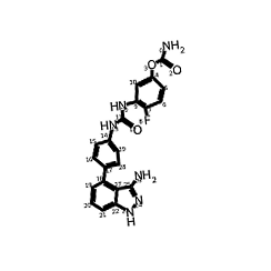 NC(=O)Oc1ccc(F)c(NC(=O)Nc2ccc(-c3cccc4[nH]nc(N)c34)cc2)c1